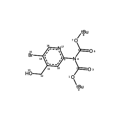 CC(C)(C)OC(=O)N(C(=O)OC(C)(C)C)c1cc(CO)c(Br)cn1